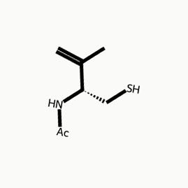 C=C(C)[C@H](CS)NC(C)=O